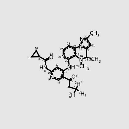 [2H]C([2H])([2H])CC(=O)c1cnc(NC(=O)C2CC2)cc1Nc1nccc2c1N(C)[C@H](C)c1cc(C)nn1-2